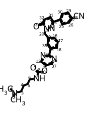 CN(C)CCCCNC(=O)Oc1cnc(-c2cccc(Cn3nc(-c4ccc(C#N)cc4)ccc3=O)c2)nc1